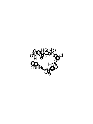 N#Cc1cccc2c1CC(CNCCC1CN(c3ccc4c(c3)NC(=O)CO4)C(=O)O1)C2.O=C1COc2ccc(N3CC(C4CC(NC5Cc6cccc(Cl)c6C5)C4)OC3=O)nc2N1.O=CO